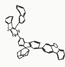 c1ccc2cc(-c3nc(-c4ccc5c(c4)-c4ccc(-c6ccc7c(c6)oc6ccccc67)cc4C54C5CC6CC(C5)CC4C6)nc4sc5ccccc5c34)ccc2c1